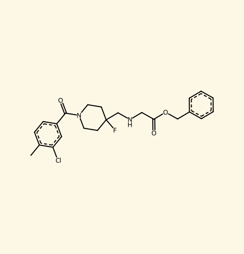 Cc1ccc(C(=O)N2CCC(F)(CNCC(=O)OCc3ccccc3)CC2)cc1Cl